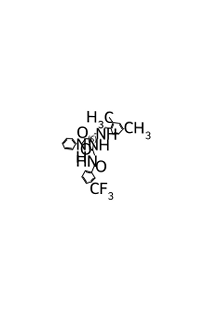 Cc1ccc(CNC[C@H](NC(=O)CNC(=O)c2cccc(C(F)(F)F)c2)C(=O)Nc2ccccc2)c(C)c1